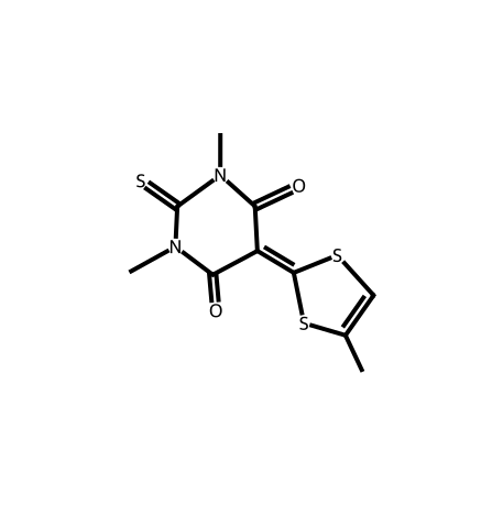 CC1=CSC(=C2C(=O)N(C)C(=S)N(C)C2=O)S1